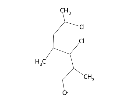 CC(Cl)CC(C)C(Cl)C(C)C[O]